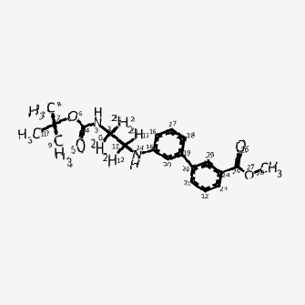 [2H]C([2H])(NC(=O)OC(C)(C)C)C([2H])([2H])Nc1cccc(-c2cccc(C(=O)OC)c2)c1